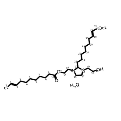 CCCCCCCCC=CCCCCCCCC(=O)OCCN1CCN(CCO)C1CCCCCCCC=CCCCCCCCC.O